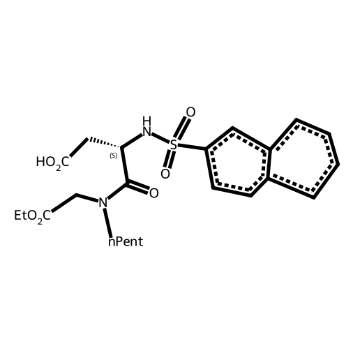 CCCCCN(CC(=O)OCC)C(=O)[C@H](CC(=O)O)NS(=O)(=O)c1ccc2ccccc2c1